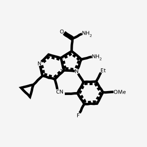 CCc1c(OC)cc(F)c(C)c1-n1c(N)c(C(N)=O)c2cnc(C3CC3)c(C#N)c21